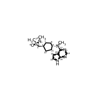 CN=S(C)(=O)C[C@H]1CC[C@H](N(C)c2ncnc3[nH]ccc23)CC1